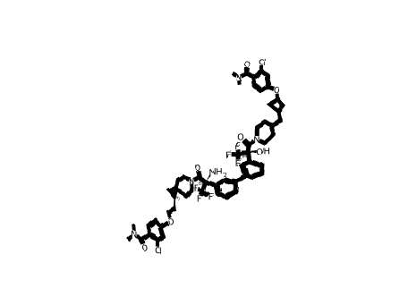 CN(C)C(=O)c1ccc(OCC[C@H]2CC23CCN(C(=O)[C@@](N)(c2cccc(-c4cccc([C@@](O)(C(=O)N5CCC(CC6CC(Oc7ccc(C(=O)N(C)C)c(Cl)c7)C6)CC5)C(F)(F)F)c4)c2)C(F)(F)F)CC3)cc1Cl